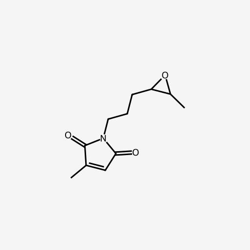 CC1=CC(=O)N(CCCC2OC2C)C1=O